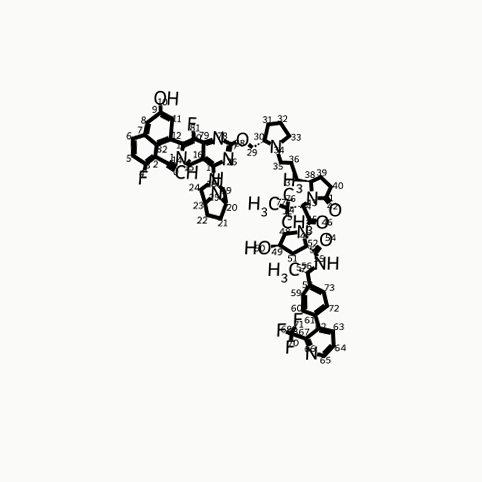 C#Cc1c(F)ccc2cc(O)cc(-c3ncc4c(N5CC6CCC(C5)N6)nc(OC[C@@H]5CCCN5CCC[C@H]5CCC(=O)N5[C@H](C(=O)N5C[C@H](O)C[C@H]5C(=O)N[C@@H](C)c5ccc(-c6cccnc6C(F)(F)F)cc5)C(C)(C)C)nc4c3F)c12